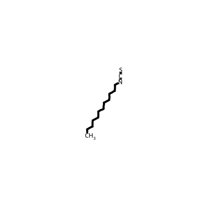 CCCCCCCCCCCCN=C=S